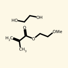 C=C(C)C(=O)OCCOC.OCCO